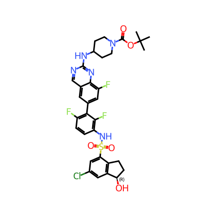 CC(C)(C)OC(=O)N1CCC(Nc2ncc3cc(-c4c(F)ccc(NS(=O)(=O)c5cc(Cl)cc6c5CC[C@H]6O)c4F)cc(F)c3n2)CC1